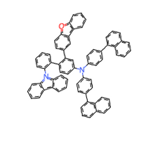 c1ccc(-n2c3ccccc3c3ccccc32)c(-c2ccc(N(c3ccc(-c4cccc5ccccc45)cc3)c3ccc(-c4cccc5ccccc45)cc3)cc2-c2ccc3oc4ccccc4c3c2)c1